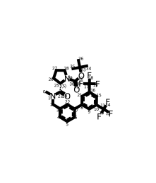 CN(Cc1cccc(-c2cc(C(F)(F)F)cc(C(F)(F)F)c2)c1)C(=O)[C@@H]1CCCN1C(=O)OC(C)(C)C